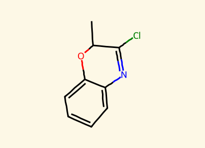 CC1Oc2ccccc2N=C1Cl